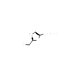 O=S(=O)(O)c1cnc(CF)s1